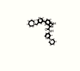 O=C(Nc1ccnc(N2CCCCC2)c1)c1n[nH]c2ccc(-c3cncc(CN4CCCCCC4)c3)cc12